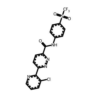 O=C(Nc1ccc(S(=O)(=O)C(F)(F)F)cc1)c1ccc(-c2ncccc2Cl)nn1